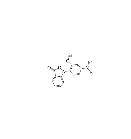 CCOc1cc(N(CC)CC)ccc1-n1oc(=O)c2ccccc21